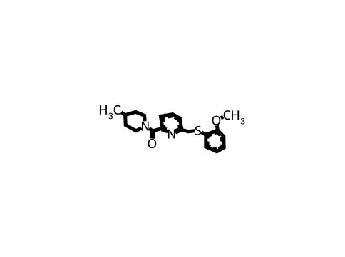 COc1ccccc1SCc1cccc(C(=O)N2CCC(C)CC2)n1